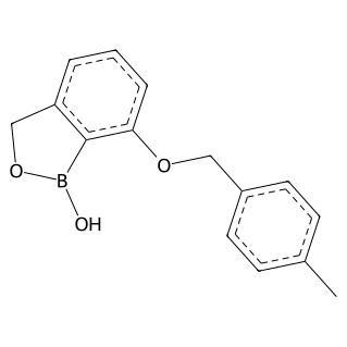 Cc1ccc(COc2cccc3c2B(O)OC3)cc1